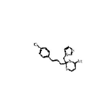 CCC1CCSC(CCCc2ccc(Cl)cc2)(Cn2ccnc2)S1